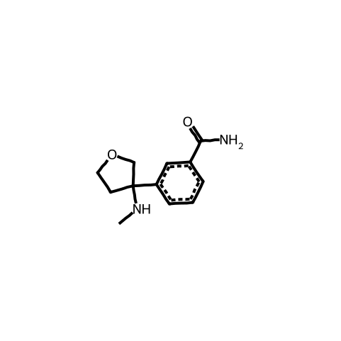 CNC1(c2cccc(C(N)=O)c2)CCOC1